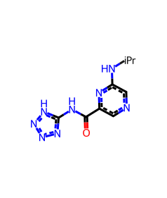 CC(C)Nc1cncc(C(=O)Nc2nnn[nH]2)n1